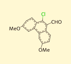 COc1ccc2c(Cl)c(C=O)c3ccc(OC)cc3c2c1